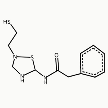 O=C(Cc1ccccc1)NC1NCN(CCS)S1